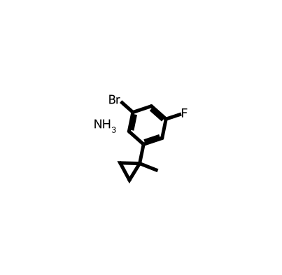 CC1(c2cc(F)cc(Br)c2)CC1.N